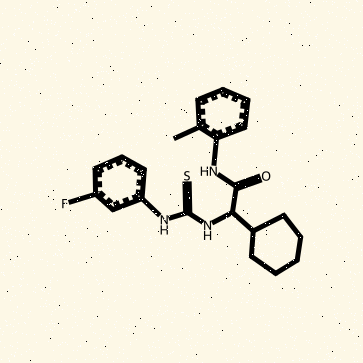 Cc1ccccc1NC(=O)C(NC(=S)Nc1cccc(F)c1)C1CCCCC1